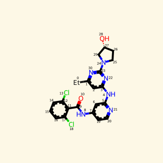 CCc1cc(Nc2cc(NC(=O)c3c(Cl)cccc3Cl)ccn2)nc(N2CC[C@@H](O)C2)n1